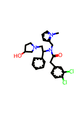 Cn1cccc1CN(C(=O)Cc1ccc(Cl)c(Cl)c1)C(CN1CCC(O)C1)c1ccccc1